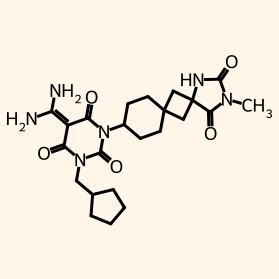 CN1C(=O)NC2(CC3(CCC(N4C(=O)C(=C(N)N)C(=O)N(CC5CCCC5)C4=O)CC3)C2)C1=O